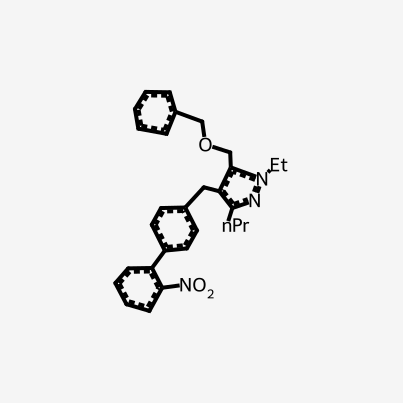 CCCc1nn(CC)c(COCc2ccccc2)c1Cc1ccc(-c2ccccc2[N+](=O)[O-])cc1